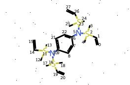 C=CS(C)(C)N(c1ccc(N(S(C)(C)C=C)S(C)(C)C=C)cc1)S(C)(C)C=C